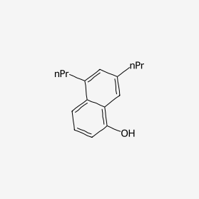 CCCc1cc(CCC)c2cccc(O)c2c1